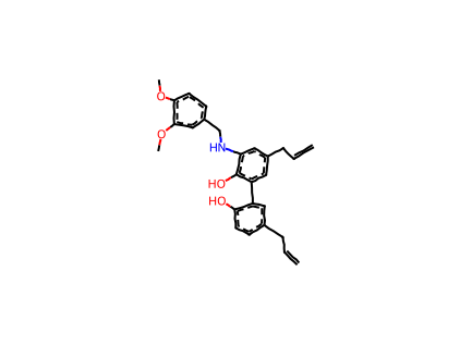 C=CCc1ccc(O)c(-c2cc(CC=C)cc(NCc3ccc(OC)c(OC)c3)c2O)c1